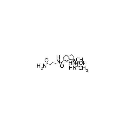 CC(=N)[C@@](C)(O)N[C@@H]1CCc2ccc(C(=O)NCCCC(N)=O)cc21